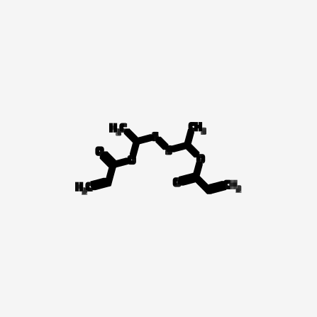 C=CC(=O)OC(C)SSC(C)OC(=O)C=C